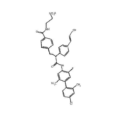 Cc1cc(Cl)ccc1-c1cc(F)c(NC(=O)C(Cc2ccc(C(=O)NCCS(=O)(=O)O)cc2)c2ccc(/C=C/C(C)(C)C)cc2)cc1C